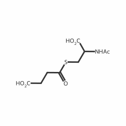 CC(=O)NC(CSC(=O)CCC(=O)O)C(=O)O